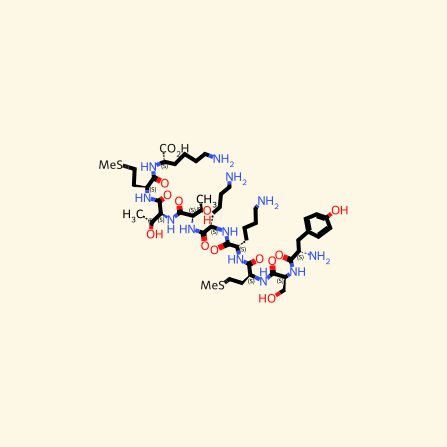 CSCC[C@H](NC(=O)[C@H](CO)NC(=O)[C@@H](N)Cc1ccc(O)cc1)C(=O)N[C@@H](CCCCN)C(=O)N[C@@H](CCCCN)C(=O)N[C@H](C(=O)N[C@H](C(=O)N[C@@H](CCSC)C(=O)N[C@@H](CCCCN)C(=O)O)[C@@H](C)O)[C@@H](C)O